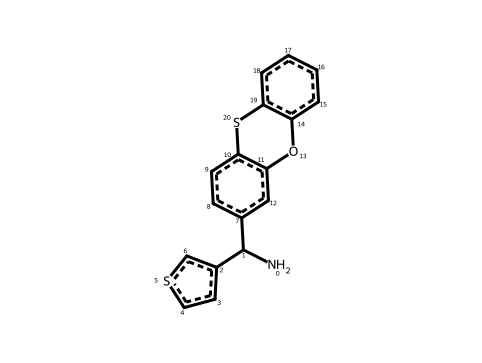 NC(c1ccsc1)c1ccc2c(c1)Oc1ccccc1S2